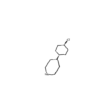 Cl[C@H]1CC[C@@H](C2CCNCC2)CC1